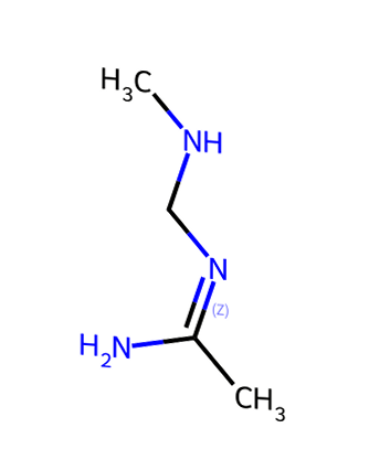 CNC/N=C(/C)N